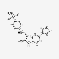 NS(=O)(=O)c1ccc(NC=C2C(=O)Nc3ncc(-c4ccsc4)cc32)cc1